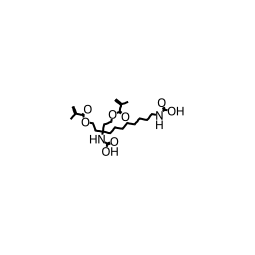 C=C(C)C(=O)OCCC(CCCCCCCCNC(=O)O)(CCOC(=O)C(=C)C)NC(=O)O